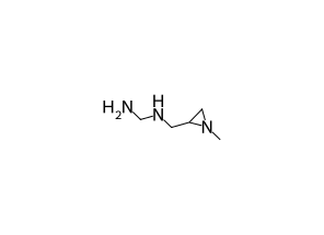 CN1CC1CNCN